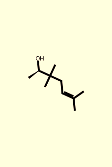 CC(C)=CCC(C)(C)[C@@H](C)O